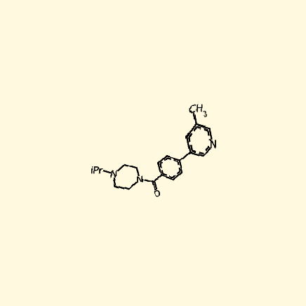 Cc1cncc(-c2ccc(C(=O)N3CCN(C(C)C)CC3)cc2)c1